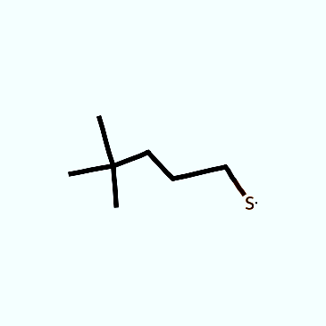 CC(C)(C)CCC[S]